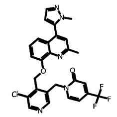 Cc1cc(-c2ccnn2C)c2cccc(OCc3c(Cl)cncc3Cn3ccc(C(F)(F)F)cc3=O)c2n1